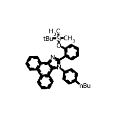 CCCCc1ccc(-n2c(-c3ccccc3O[Si](C)(C)C(C)(C)C)nc3c4ccccc4c4ccccc4c32)cc1